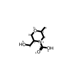 CC1CN(C(=O)O)C(CO)CO1